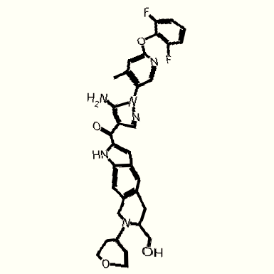 Cc1cc(Oc2c(F)cccc2F)ncc1-n1ncc(C(=O)c2cc3cc4c(cc3[nH]2)CN(C2CCOCC2)C(CO)C4)c1N